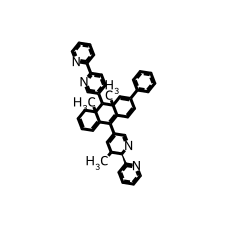 CC1C=C(C2=C3C=CC(c4ccccc4)=CC3(C)C(c3ccc(-c4ccccn4)nc3)C3(C)CC=CC=C23)C=N[C@H]1c1ccccn1